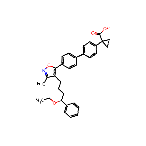 CCOC(CCCc1c(C)noc1-c1ccc(-c2ccc(C3(C(=O)O)CC3)cc2)cc1)c1ccccc1